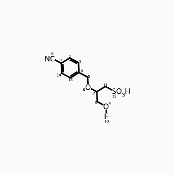 N#Cc1ccc(COC(COF)CS(=O)(=O)O)cc1